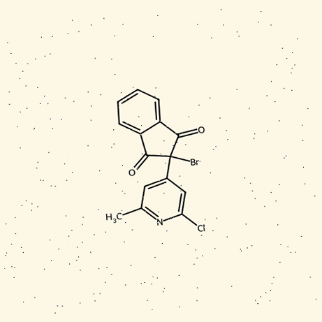 Cc1cc(C2(Br)C(=O)c3ccccc3C2=O)cc(Cl)n1